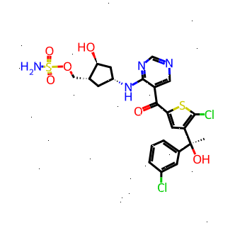 C[C@](O)(c1cccc(Cl)c1)c1cc(C(=O)c2cncnc2N[C@@H]2C[C@H](COS(N)(=O)=O)[C@@H](O)C2)sc1Cl